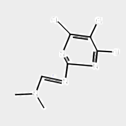 CN(C)/C=N/c1nc(Cl)c(Cl)c(Cl)n1